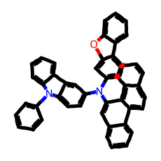 c1ccc(-n2c3ccccc3c3cc(N(c4ccc5c(c4)oc4ccccc45)c4cc5ccccc5c5ccc6ccccc6c45)ccc32)cc1